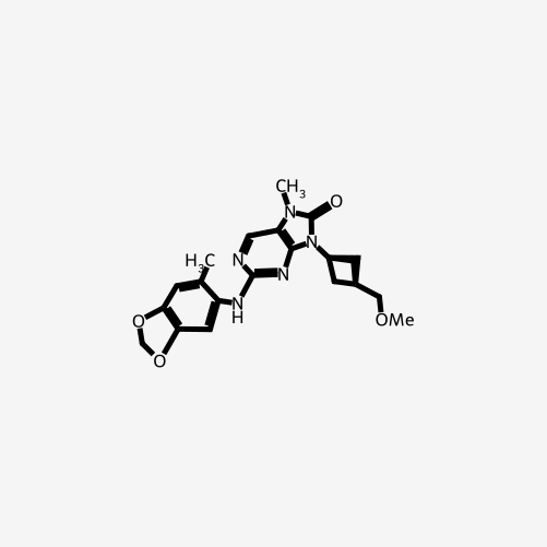 COCC12CC(n3c(=O)n(C)c4cnc(Nc5cc6c(cc5C)OCO6)nc43)(C1)C2